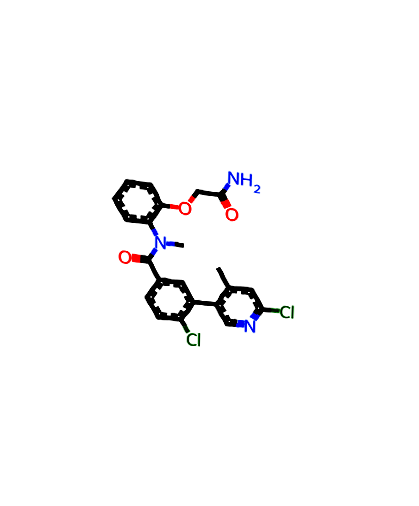 Cc1cc(Cl)ncc1-c1cc(C(=O)N(C)c2ccccc2OCC(N)=O)ccc1Cl